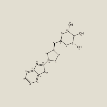 OC1[C@H](O)CN(C[C@H]2CCN(c3nc4ccccc4s3)C2)C[C@@H]1O